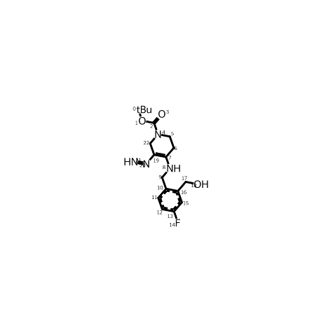 CC(C)(C)OC(=O)N1CCC(NCc2ccc(F)cc2CO)=C(N=N)C1